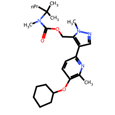 CCCC(C)(C)N(C)C(=O)OCc1c(-c2ccc(OC3CCCCC3)c(C)n2)cnn1C